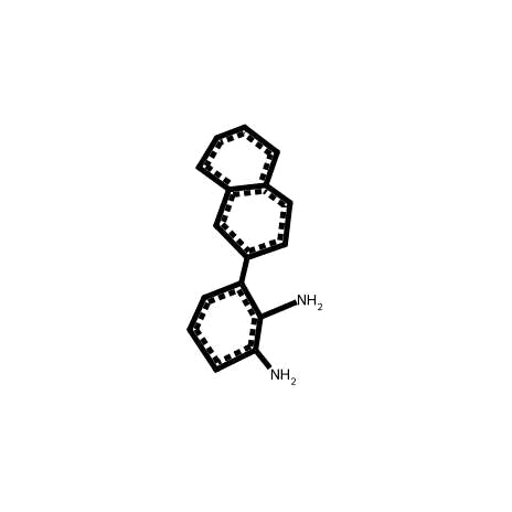 Nc1cccc(-c2ccc3ccccc3c2)c1N